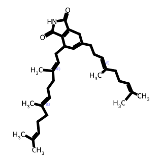 CC(C)=CCC/C(C)=C/CCC1=CC(C/C=C(\C)CC/C=C(\C)CCC=C(C)C)C2=C(C1)C(=O)NC2=O